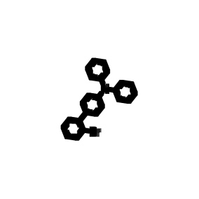 Brc1ccccc1-c1ccc(N(c2ccccc2)c2ccccc2)cc1